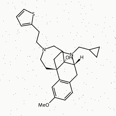 COc1ccc2c(c1)[C@@]13CCN(CCc4cccs4)CC[C@@]1(O)[C@@H](C2)N(CC1CC1)CC3